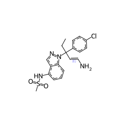 CCC(/C=C/N)(c1ccc(Cl)cc1)n1ncc2c(NS(C)(=O)=O)cccc21